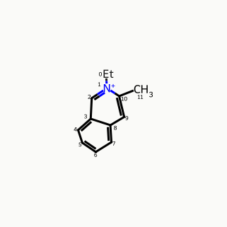 CC[n+]1cc2ccccc2cc1C